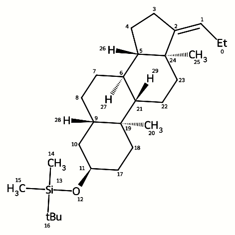 CC/C=C1/CC[C@H]2[C@@H]3CC[C@H]4C[C@H](O[Si](C)(C)C(C)(C)C)CC[C@]4(C)[C@H]3CC[C@]12C